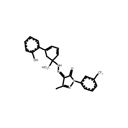 CC1=NN(c2cccc(C(F)(F)F)c2)C(=O)C1=NNC1(C(=O)O)C=CC=C(c2ccccc2O)C1